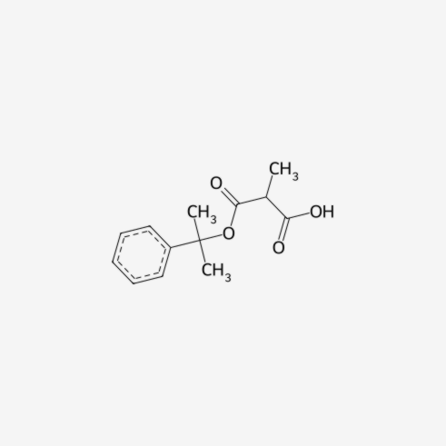 CC(C(=O)O)C(=O)OC(C)(C)c1ccccc1